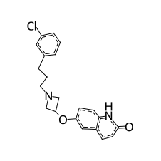 O=c1ccc2cc(OC3CN(CCCc4cccc(Cl)c4)C3)ccc2[nH]1